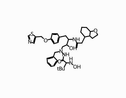 C=C(CC1CCCC2OCCC12)NC(Cc1ccc(OCc2cncs2)cc1)C(O)CN(Cc1ccccc1)NC(=O)C(NO)C(C)(C)C